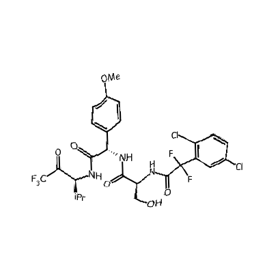 COc1ccc([C@H](NC(=O)[C@H](CO)NC(=O)C(F)(F)c2cc(Cl)ccc2Cl)C(=O)N[C@H](C(=O)C(F)(F)F)C(C)C)cc1